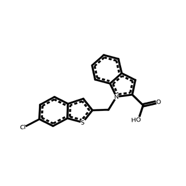 O=C(O)c1cc2ccccc2n1Cc1cc2ccc(Cl)cc2s1